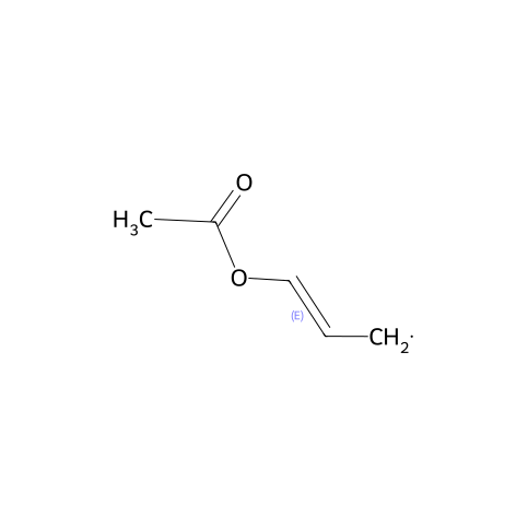 [CH2]/C=C/OC(C)=O